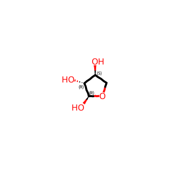 O[C@H]1[C@H](O)OC[C@@H]1O